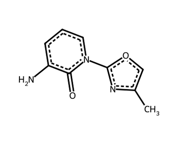 Cc1coc(-n2cccc(N)c2=O)n1